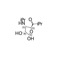 CC(C)N[C@H]1[C@@H](O)[C@@H](O)O[C@@H]1C(=O)C(C)C